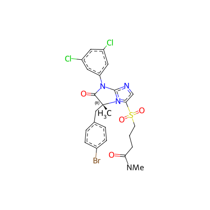 CNC(=O)CCCS(=O)(=O)c1cnc2n1[C@](C)(Cc1ccc(Br)cc1)C(=O)N2c1cc(Cl)cc(Cl)c1